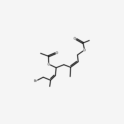 CC(=O)OCC=C(C)CC(C=C(C)CBr)OC(C)=O